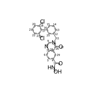 O=C(NO)c1ccc2ncn(Cc3cccc(-c4c(Cl)cccc4Cl)c3)c(=O)c2c1